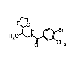 Cc1cc(C(=O)NCC(C)C2OCCO2)ccc1Br